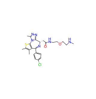 CNCCOCCNC(=O)C[C@@H]1N=C(c2ccc(Cl)cc2)c2c(sc(C)c2C)-n2c(C)nnc21